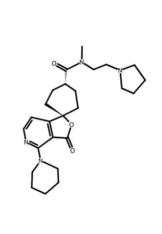 CN(CCN1CCCC1)C(=O)[C@H]1CC[C@@]2(CC1)OC(=O)c1c(N3CCCCC3)nccc12